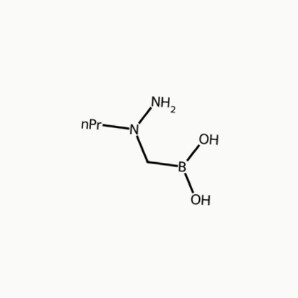 CCCN(N)CB(O)O